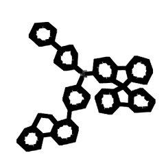 c1ccc(-c2ccc(N(c3ccc(-c4cccc5c4CCc4ccccc4-5)cc3)c3ccc4c(c3)C3(c5ccccc5-c5ccccc53)c3ccccc3-4)cc2)cc1